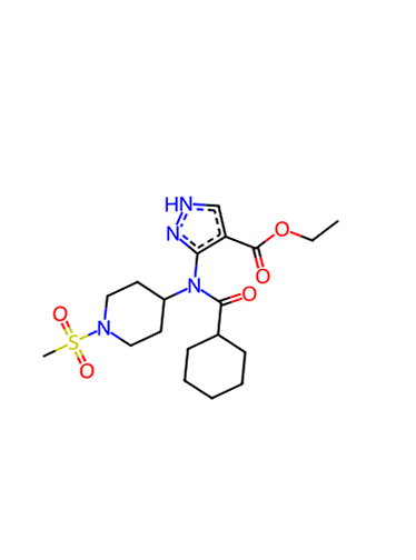 CCOC(=O)c1c[nH]nc1N(C(=O)C1CCCCC1)C1CCN(S(C)(=O)=O)CC1